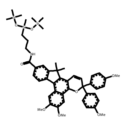 COc1ccc(C2(c3ccc(OC)cc3)C=Cc3c4c(c5cc(OC)c(OC)cc5c3O2)-c2ccc(C(=O)NCCC[Si](C)(O[Si](C)(C)C)O[Si](C)(C)C)cc2C4(C)C)cc1